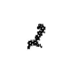 C[C@H](c1cccc(Cn2cc(-c3cc(-c4cccc(C#N)c4)nc(N)n3)nn2)n1)N1CCC[C@H](C(=O)O)C1